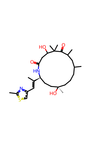 C/C(=C\c1csc(C)n1)[C@@H]1CC[C@](C)(O)CCCC(C)CC(C)C(=O)C(C)(C)C(O)CC(=O)N1